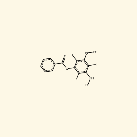 CCNc1c(I)c(NCC)c(I)c(OC(=O)c2ccccc2)c1I